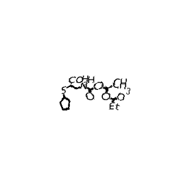 CCC(=O)O[C@H](C)OC(=O)NC[C@H](SC1CCCC1)C(=O)O